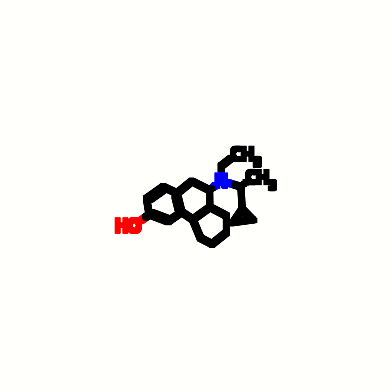 CCN([C@H](C)C1CC1)[C@@H]1Cc2ccc(O)cc2C2CCCCC21